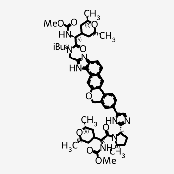 CC[C@H](C)N(Cc1nc2ccc3cc4c(cc3c2[nH]1)OCc1cc(-c2cnc([C@@H]3CC[C@H](C)N3C(=O)[C@@H](NC(=O)OC)C3C[C@@H](C)O[C@H](C)C3)[nH]2)ccc1-4)C(=O)[C@@H](NC(=O)OC)C1C[C@@H](C)O[C@H](C)C1